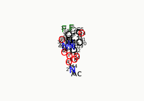 CC(=O)N1CC(OC(=O)Oc2c3n(ccc2=O)N([C@@H]2c4ccccc4-c4occc4-c4c2ccc(F)c4F)[C@@H]2COCCN2C3=O)C1